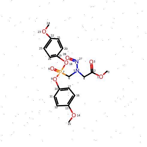 COC(=O)CN(CP(=O)(Oc1ccc(OC)cc1)Oc1ccc(OC)cc1)N=O